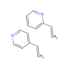 C=Cc1ccccn1.C=Cc1ccncc1